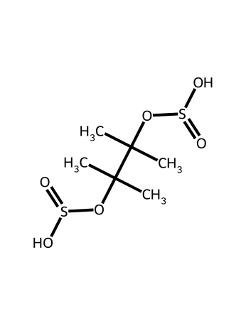 CC(C)(OS(=O)O)C(C)(C)OS(=O)O